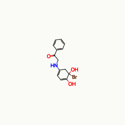 O=C(CNC1=CC=C(O)C(O)(Br)C1)c1ccccc1